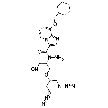 [N-]=[N+]=NCC(CN=[N+]=[N-])OCC(CN=O)N(N)C(=O)c1cnc2c(OCC3CCCCC3)cccn12